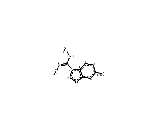 C/N=C(/NC)n1nnc2cc(Cl)ccc21